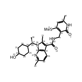 CSc1cc(C)[nH]c(=O)c1CNC(=O)c1c(C)n([C@H](C)C2CCC(O)CC2)c2nc(C)ccc12